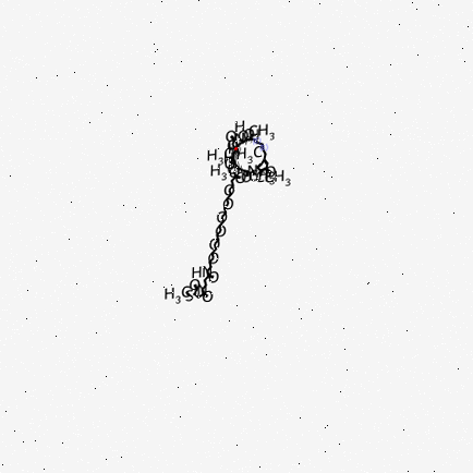 COc1cc2cc(c1Cl)N(C)C(=O)C[C@H](OC(=O)CCOCCOCCOCCOCCOCCOCCNC(=O)CCN1C(=O)CC(SC)C1=O)[C@]1(C)O[C@@H]1[C@H](C)[C@@H]1C[C@@](O)(NC(=O)O1)[C@H](OC)/C=C/C=C(\C)C2